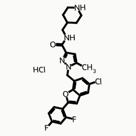 Cc1cc(C(=O)NCC2CCNCC2)nn1Cc1cc(Cl)cc2cc(-c3ccc(F)cc3F)oc12.Cl